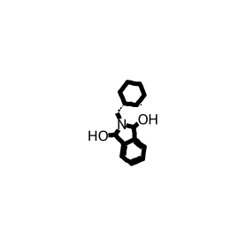 OC1c2ccccc2C(O)N1C[C@H]1[CH]CCCC1